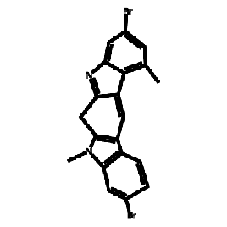 Cc1cc(Br)cc2c1C1=Cc3c(n(C)c4cc(Br)ccc34)CC1=N2